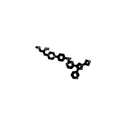 COCC(O)CN1CCN(c2ccc(Nc3nccc(-c4cn(C5COC5)nc4-c4cccnc4)n3)cc2)CC1